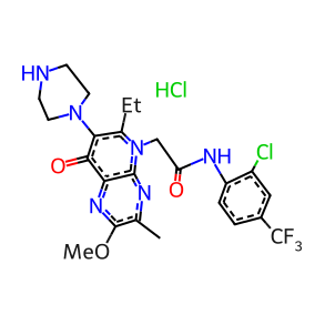 CCc1c(N2CCNCC2)c(=O)c2nc(OC)c(C)nc2n1CC(=O)Nc1ccc(C(F)(F)F)cc1Cl.Cl